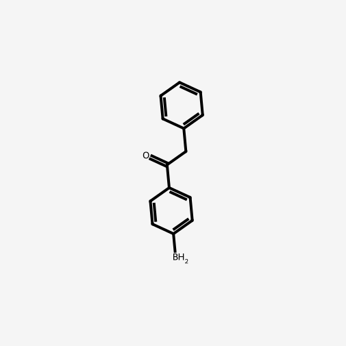 Bc1ccc(C(=O)Cc2ccccc2)cc1